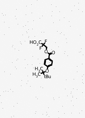 CC(C)(C)C(C)(C)Oc1ccc(C(=O)OCC(F)(F)C(=O)O)cc1